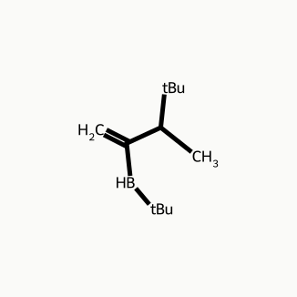 C=C(BC(C)(C)C)C(C)C(C)(C)C